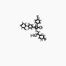 Cc1ccccc1-c1ccc([C@@H]2[C@@H](CC[C@H](O)c3ccc(F)cc3)C(=O)N2c2ccc(F)cc2)cc1